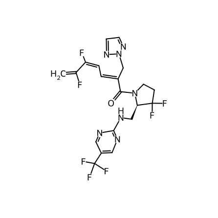 C=C(F)/C(F)=C\C=C(/Cn1nccn1)C(=O)N1CCC(F)(F)[C@H]1CNc1ncc(C(F)(F)F)cn1